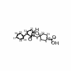 O=C(O)N1CCC(O)(Cn2nccc(-c3ccccc3)c2=O)CC1